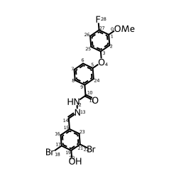 COc1cc(Oc2cccc(C(=O)NN=Cc3cc(Br)c(O)c(Br)c3)c2)ccc1F